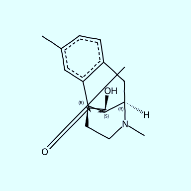 Cc1ccc2c(c1)[C@]13CCN(C)[C@H](C2)[C@]1(O)CCC(=O)C3